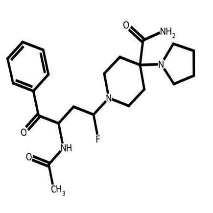 CC(=O)NC(CC(F)N1CCC(C(N)=O)(N2CCCC2)CC1)C(=O)c1ccccc1